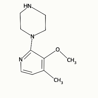 COc1c(C)ccnc1N1CCNCC1